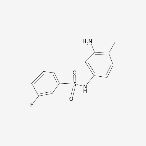 Cc1ccc(NS(=O)(=O)c2cccc(F)c2)cc1N